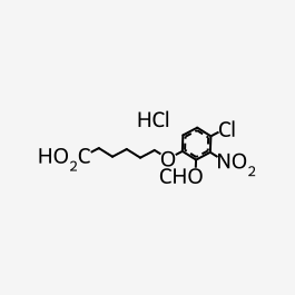 Cl.O=Cc1c(OCCCCCC(=O)O)ccc(Cl)c1[N+](=O)[O-]